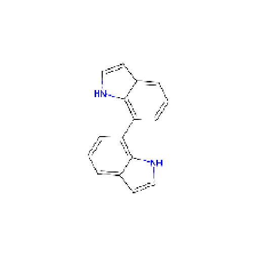 c1cc(-c2cccc3cc[nH]c23)c2[nH]ccc2c1